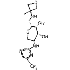 CC1(NC[C@H]2OC[C@H](Nc3cncc(C(F)(F)F)n3)[C@@H](O)[C@H]2O)COC1